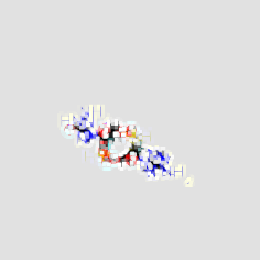 Nc1nc2c(ncn2[C@@H]2O[C@@H]3COP(=O)(S)S[C@H]4[C@@H](F)[C@H](n5cnc6c(N)ncnc65)O[C@@H]4COP(=O)(S)O[C@H]2[C@H]3F)c(=O)[nH]1